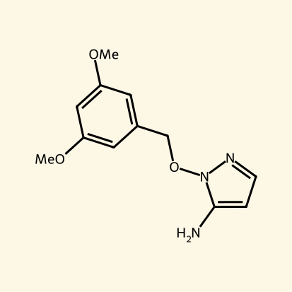 COc1cc(COn2nccc2N)cc(OC)c1